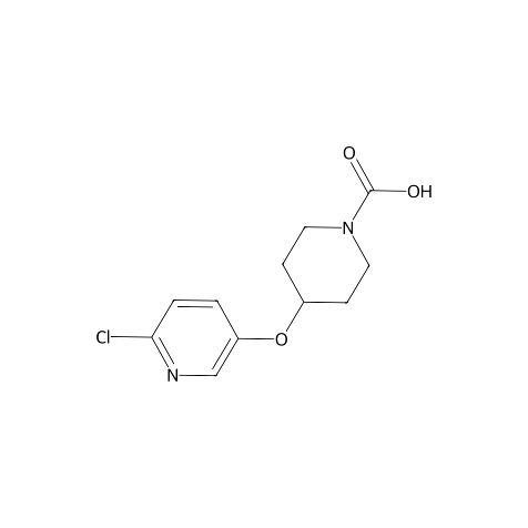 O=C(O)N1CCC(Oc2ccc(Cl)nc2)CC1